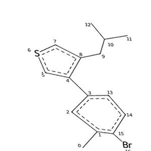 Cc1cc(-c2[c]scc2CC(C)C)ccc1Br